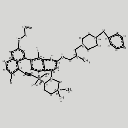 COCOc1cc(-c2ccc3c(N4CCC[C@@](C)(O)C4)nc(OC[C@H](C)CN4CCN(Cc5ccccc5)CC4)nc3c2F)c2c(C#C[Si](C(C)C)(C(C)C)C(C)C)c(F)ccc2c1